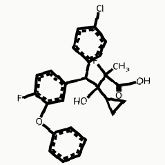 CC(F)(C(=O)O)C(O)(C1CC1)C(c1ccc(Cl)cc1)c1ccc(F)c(Oc2ccccc2)c1